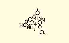 Cc1cccc(COc2ccccc2CN(CC[C@H](N)C(=O)O)Cc2cc3[nH]cnc3cc2OCc2cccc(C)c2)c1